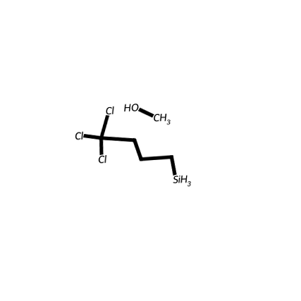 CO.[SiH3]CCCC(Cl)(Cl)Cl